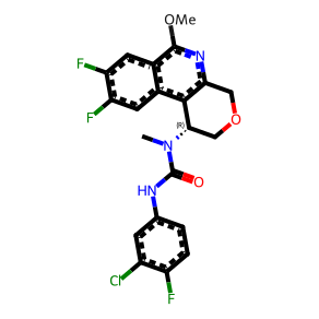 COc1nc2c(c3cc(F)c(F)cc13)[C@@H](N(C)C(=O)Nc1ccc(F)c(Cl)c1)COC2